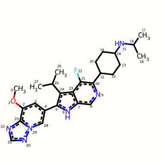 COc1cc(-c2[nH]c3cnc(C4CCC(NC(C)C)CC4)c(F)c3c2C(C)C)cn2ncnc12